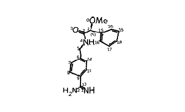 CO[C@H](C(=O)NCc1ccc(C(=N)N)cc1)c1ccccc1